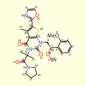 COc1ccccc1[C@H](Cn1c(=O)n(C(C)(C)C(=O)N2CCCC2)c(=O)c2c(C)c(-c3ncco3)sc21)OC(C)C